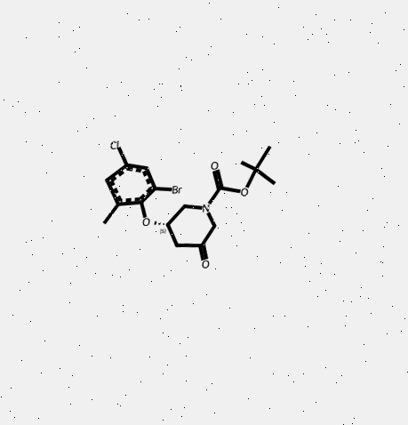 Cc1cc(Cl)cc(Br)c1O[C@H]1CC(=O)CN(C(=O)OC(C)(C)C)C1